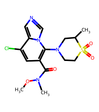 CON(C)C(=O)c1cc(Cl)c2cncn2c1N1CCS(=O)(=O)C(C)C1